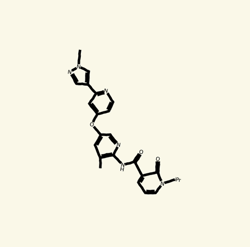 Cc1cc(Oc2ccnc(-c3cnn(C)c3)c2)cnc1NC(=O)c1cccn(C(C)C)c1=O